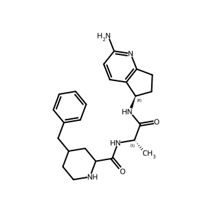 C[C@H](NC(=O)C1CC(Cc2ccccc2)CCN1)C(=O)N[C@@H]1CCc2nc(N)ccc21